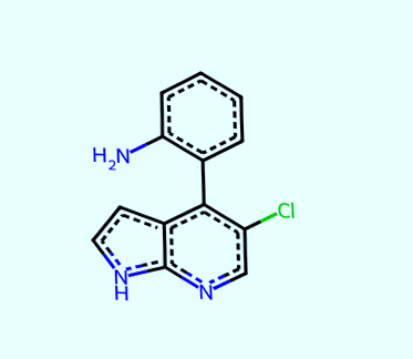 Nc1ccccc1-c1c(Cl)cnc2[nH]ccc12